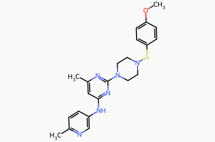 COc1ccc(SN2CCN(c3nc(C)cc(Nc4ccc(C)nc4)n3)CC2)cc1